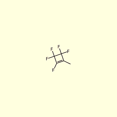 CC1=C(F)C(F)(F)C1(F)F